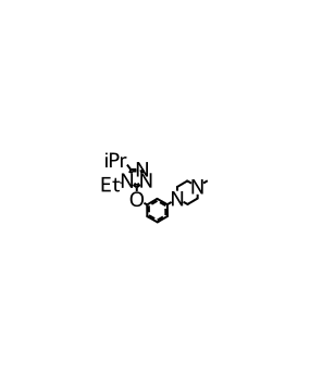 CCn1c(Oc2cccc(N3CCN(C)CC3)c2)nnc1C(C)C